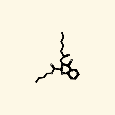 CCCCOC(=O)Cc1c(C(=O)OCCCC)oc2ccccc2c1=O